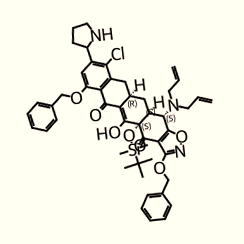 C=CCN(CC=C)[C@@H]1c2onc(OCc3ccccc3)c2C(=O)[C@@]2(O[Si](C)(C)C(C)(C)C)C(O)=C3C(=O)c4c(OCc5ccccc5)cc(C5CCCN5)c(Cl)c4C[C@H]3C[C@@H]12